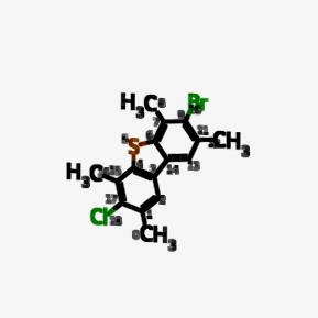 Cc1cc2c(sc3c(C)c(Br)c(C)cc32)c(C)c1Cl